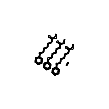 CC.COC(=O)CCCCCOc1ccccc1.COC(=O)CCCCCOc1ccccc1.COC(=O)CCCCCOc1ccccc1